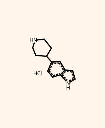 Cl.c1cc2cc(C3CCNCC3)ccc2[nH]1